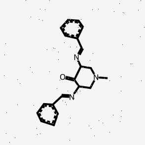 CN1CC(N=Cc2ccccc2)C(=O)C(N=Cc2ccccc2)C1